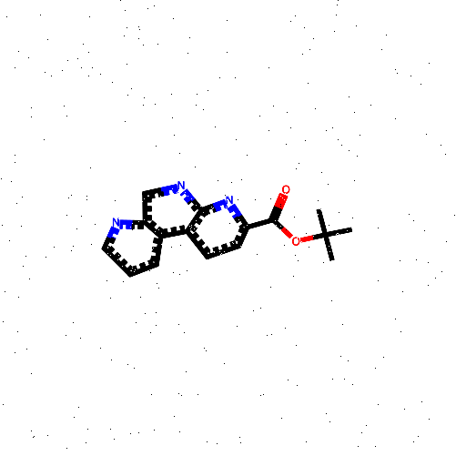 CC(C)(C)OC(=O)c1ccc2c(ncc3ncccc32)n1